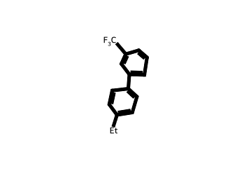 CCc1ccc(-c2cccc(C(F)(F)F)c2)cc1